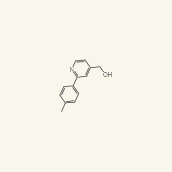 Cc1ccc(-c2cc(CO)ccn2)cc1